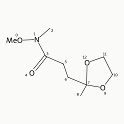 CON(C)C(=O)CCC1(C)OCCO1